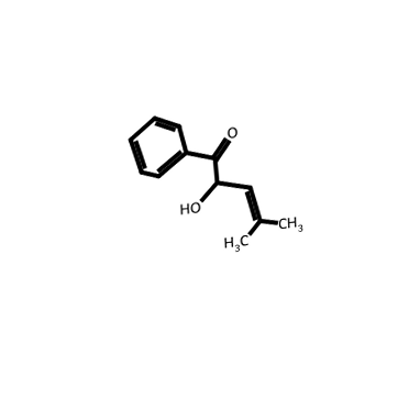 CC(C)=CC(O)C(=O)c1ccccc1